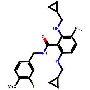 COc1ccc(CNC(=O)c2c(NCC3CC3)ccc([N+](=O)[O-])c2NCC2CC2)cc1F